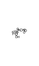 O=C(c1cc2cc(O)cc(C(F)(F)F)n2n1)N1CCC(N2CCOC2=O)CC1